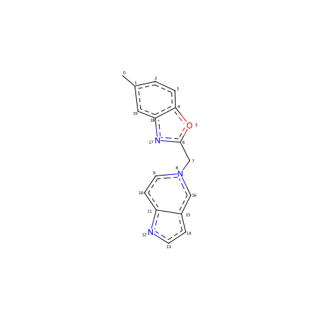 Cc1ccc2oc(Cn3ccc4nccc-4c3)nc2c1